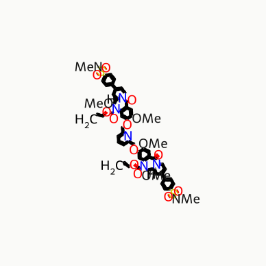 C=CCOC(=O)N1c2cc(OCc3cccc(COc4cc5c(cc4OC)C(=O)N4CC=C(c6ccc(S(=O)(=O)NC)cc6)C[C@H]4C(OC)N5C(=O)OCC=C)n3)c(OC)cc2C(=O)N2CC=C(c3ccc(S(=O)(=O)NC)cc3)C[C@H]2C1OC